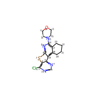 Clc1ncnc2c1sc1nc(N3CCOCC3)c3c(c12)CCCC3